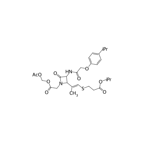 CC(=O)OCOC(=O)CN1C(=O)C(NC(=O)COc2ccc(C(C)C)cc2)C1C(C)=CSCCC(=O)OC(C)C